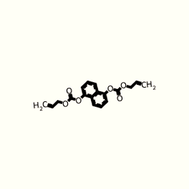 C=CCOC(=O)Oc1cccc2c(OC(=O)OCC=C)cccc12